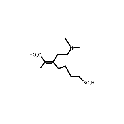 CC(C(=O)O)=C(CCCCS(=O)(=O)O)CCN(C)C